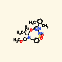 COC1CC(N2Cc3cccc(c3)S(=O)(=O)Nc3nc(cc(-c4c(C)cccc4C)n3)OC[C@H]2CC(C)C)C1